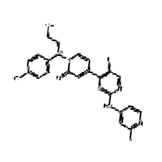 Cc1cc(Nc2ncc(F)c(-c3ccn([C@H](CCO)c4ccc(Cl)cc4)c(=O)c3)n2)ccn1